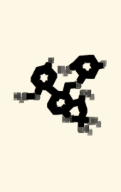 COc1ccc(F)cc1-c1ccc2c(c1COc1cc(F)ccc1C)C(C)=CC(C)(C)N2